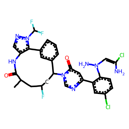 CC1CC(F)CC(n2cnc(-c3cc(Cl)ccc3N(N)/C=C(\N)Cl)cc2=O)c2cccc(c2)-c2c(cnn2C(F)F)NC1=O